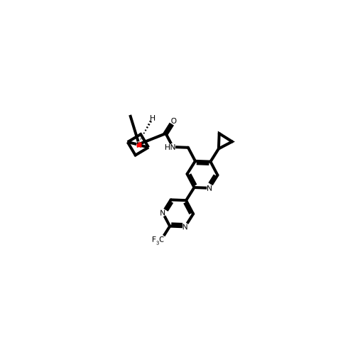 CN1C2CC(C2)[C@H]1C(=O)NCc1cc(-c2cnc(C(F)(F)F)nc2)ncc1C1CC1